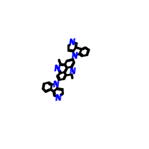 Cc1nc2cc(-n3c4ccccc4c4cnccc43)cc3c(C)nc4cc(-n5c6ccccc6c6cnccc65)cc1c4c23